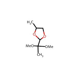 COC(C)(OC)C1OCC(C)O1